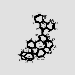 c1cc(-c2cccc3c2-c2c(ccc4oc5ccccc5c24)C32C3CC4CC(C3)CC2C4)cc(-c2cc3cccnc3c3ncccc23)c1